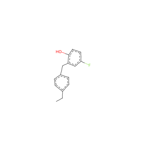 CCc1ccc(Cc2cc(F)ccc2O)cc1